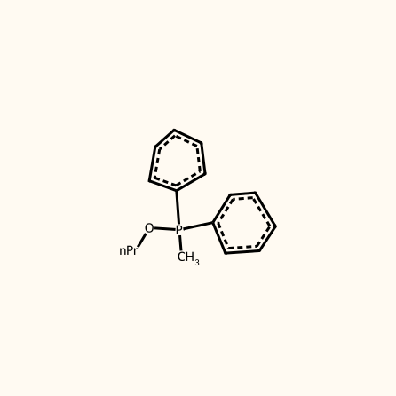 CCCO[P](C)(c1ccccc1)c1ccccc1